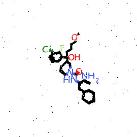 COCCCCC(O)(c1cccc(Cl)c1F)C1CCCN(C(=O)NC(CC2CCCCC2)C(C)N)C1